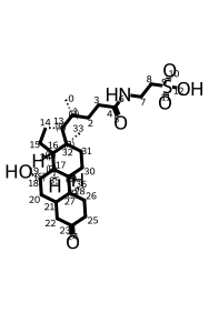 C[C@H](CCC(=O)NCCS(=O)(=O)O)[C@H]1CC[C@H]2[C@@H]3[C@@H](O)CC4CC(=O)CC[C@]4(C)[C@H]3CC[C@]12C